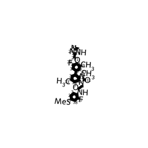 CSc1ccc(NC(=O)Cn2c(=O)n(C)c3c(-c4cc(C)c(OCc5nnc[nH]5)c(F)c4)cc(C)cc32)c(F)c1